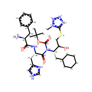 Cn1nnnc1SCC(O)[C@H](CC1CCCCC1)N(C(=O)OC(C)(C)C)C(=O)[C@H](Cc1c[nH]cn1)NC(=O)[C@@H](N)Cc1ccccc1